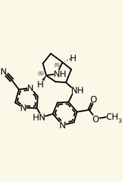 COC(=O)c1cnc(Nc2cnc(C#N)cn2)cc1NC1C[C@@H]2CC[C@@H](C1)N2